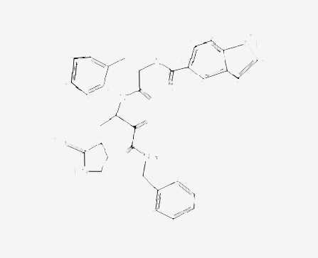 O=C(NCc1ccccc1)C(=O)C(C[C@@H]1CCNC1=O)NC(=O)[C@H](Cc1ccccc1)NC(=O)c1ccc2[nH]ccc2c1